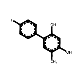 Cc1cc(-c2ccc(F)cc2)c(O)cc1O